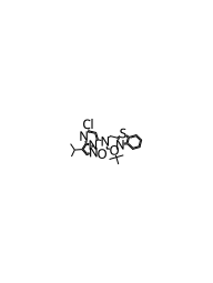 CC(C)c1cnn2c(N(Cc3nc4ccccc4s3)C(=O)OC(C)(C)C)cc(Cl)nc12